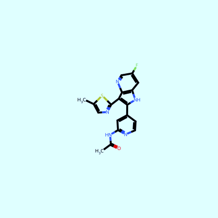 CC(=O)Nc1cc(-c2[nH]c3cc(F)cnc3c2-c2ncc(C)s2)ccn1